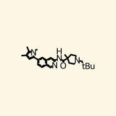 Cc1cc(-c2ccc3cnc(NC(=O)C4(C)CCN(CC(C)(C)C)CC4)cc3c2)n(C)c1C